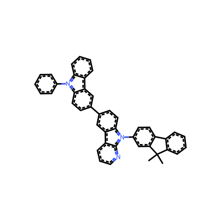 CC1(C)c2ccccc2-c2ccc(-n3c4ccc(-c5ccc6c(c5)c5ccccc5n6-c5ccccc5)cc4c4cccnc43)cc21